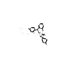 COc1ccc(C2CN(S(=O)(=O)c3ccc(C)cc3)Cc3ccccc32)c(C(=O)O)c1OC